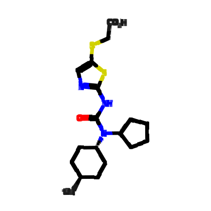 CC(C)(C)[C@H]1CC[C@H](N(C(=O)Nc2ncc(SCC(=O)O)s2)C2CCCC2)CC1